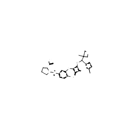 Cc1ccc(C(Nc2c(Nc3cc(S(=O)(=O)N4CCC[C@H]4C(=O)O)ccc3Cl)c(=O)c2=O)C2(C)COC2)o1